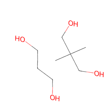 CC(C)(CO)CO.OCCCO